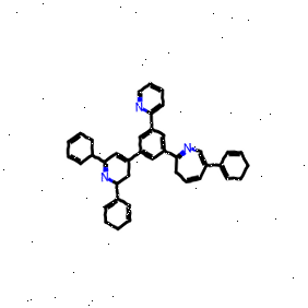 C1=CCC(C2=NC(C3=CCCC=C3)CC(c3cc(C4=NC=C(C5=CCCC=C5)C=CC4)cc(-c4ccccn4)c3)=C2)C=C1